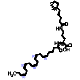 CC/C=C\C/C=C\C/C=C\C/C=C\C/C=C\CCCC(=O)N[C@@H](CCCNC(=O)CCCC[C@@H]1CCSS1)C(=O)O